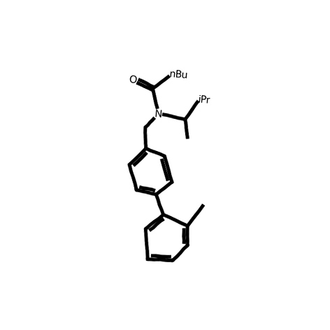 CCCCC(=O)N(Cc1ccc(-c2ccccc2C)cc1)C(C)C(C)C